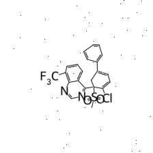 CS(=O)(=O)C1(c2ncnc3c(C(F)(F)F)cccc23)CC(c2ccccc2)=CC=C1Cl